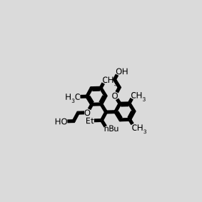 CCCCC(CC)C(c1cc(C)cc(C)c1OCCO)c1cc(C)cc(C)c1OCCO